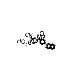 N#CC[C@H]1CN(c2nc(Cl)nc3c2CCC(N2CCc4ccccc4C2)C3)CCN1C(=O)O